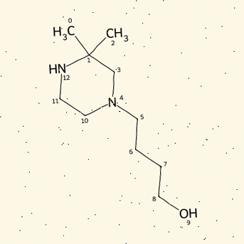 CC1(C)CN(CCCCO)CCN1